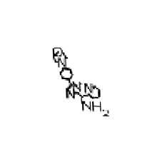 Cn1c(-c2ccc(N3CCOCC3)cc2)cnc1C(CN)c1ccccn1